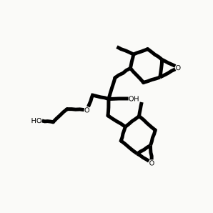 CC1CC2OC2CC1CC(O)(COCCO)CC1CC2OC2CC1C